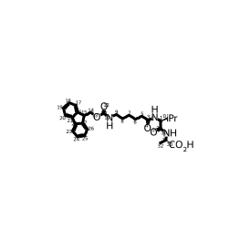 CC(C)[C@H](NC(=O)CCCCCNC(=O)OCC1c2ccccc2-c2ccccc21)C(=O)N[C@@H](C)C(=O)O